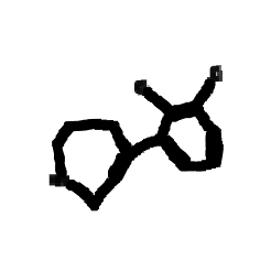 Clc1cccc(C2=CCNCCC2)c1Cl